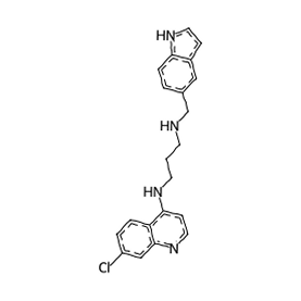 Clc1ccc2c(NCCCNCc3ccc4[nH]ccc4c3)ccnc2c1